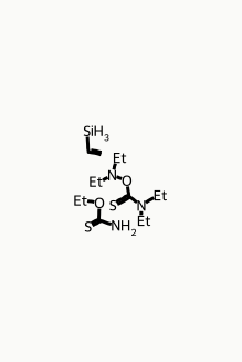 C=C[SiH3].CCN(CC)OC(=S)N(CC)CC.CCOC(N)=S